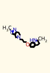 C=C1CCc2ccc(OCCCCN3CCc4nn(CC)cc4C3)cc2N1